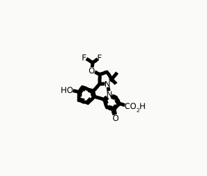 CC1(C)CC(OC(F)F)C2c3cc(O)ccc3-c3cc(=O)c(C(=O)O)cn3N21